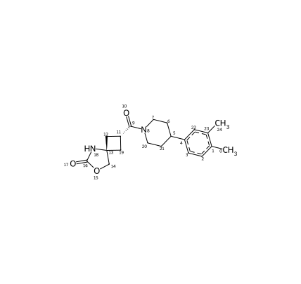 Cc1ccc(C2CCN(C(=O)[C@H]3C[C@]4(COC(=O)N4)C3)CC2)cc1C